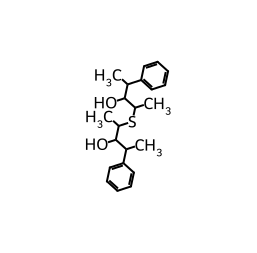 CC(SC(C)C(O)C(C)c1ccccc1)C(O)C(C)c1ccccc1